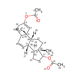 CC(=O)OC1=C[C@@]2(C)C(C=C[C@@H]3[C@H]2CC[C@]2(C)C(OC(C)=O)CC[C@@H]32)CC1